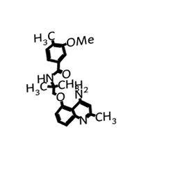 COc1cc(C(=O)NC(C)(C)COc2cccc3nc(C)cc(N)c23)ccc1C